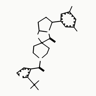 O=C(c1ccoc1C(F)(F)F)N1CCC2(CC1)OC1CCC(c3cc(F)cc(F)c3)N1C2=O